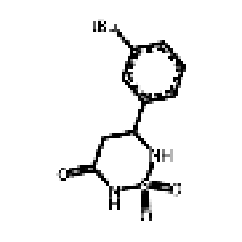 CC(C)(C)c1cccc(C2CC(=O)NS(=O)(=O)N2)c1